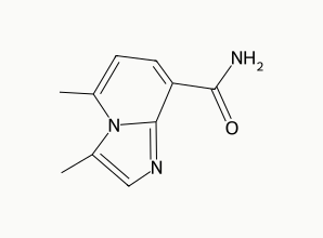 Cc1ccc(C(N)=O)c2ncc(C)n12